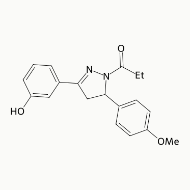 CCC(=O)N1N=C(c2cccc(O)c2)CC1c1ccc(OC)cc1